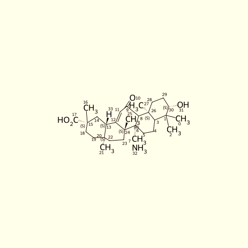 CC1(C)C2CC[C@]3(C)C(C(=O)C=C4[C@H]5C[C@@](C)(C(=O)O)CC[C@]5(C)CC[C@]43C)[C@@]2(C)CC[C@@H]1O.N